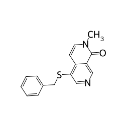 Cn1ccc2c(SCc3ccccc3)cncc2c1=O